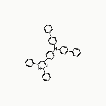 c1ccc(-c2ccc(N(c3ccc(-c4ccccc4)cc3)c3ccc(-c4cc(-c5ccccc5)nc(-c5ccccc5)n4)cc3)cc2)cc1